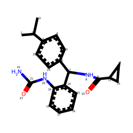 CC(C)c1ccc(C(NC(=O)C2CC2)c2ccccc2NC(N)=O)cc1